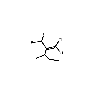 CCC(C)C(=C(Cl)Cl)C(F)F